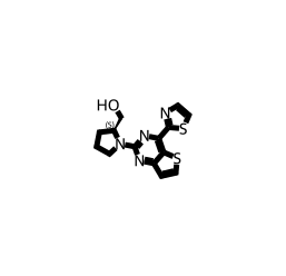 OC[C@@H]1CCCN1c1nc(-c2nccs2)c2sccc2n1